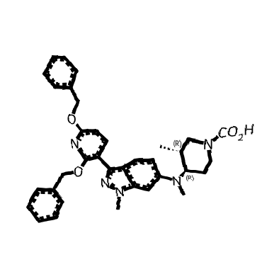 C[C@@H]1CN(C(=O)O)CC[C@H]1N(C)c1ccc2c(-c3ccc(OCc4ccccc4)nc3OCc3ccccc3)nn(C)c2c1